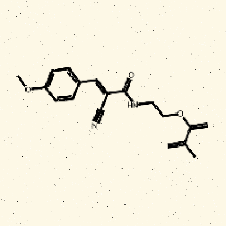 C=C(C)C(=C)OCCNC(=O)/C(C#N)=C/c1ccc(OC)cc1